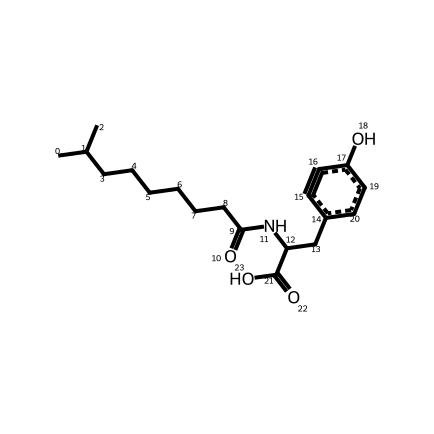 CC(C)CCCCCCC(=O)NC(Cc1c#cc(O)cc1)C(=O)O